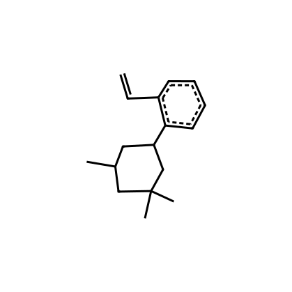 C=Cc1ccccc1C1CC(C)CC(C)(C)C1